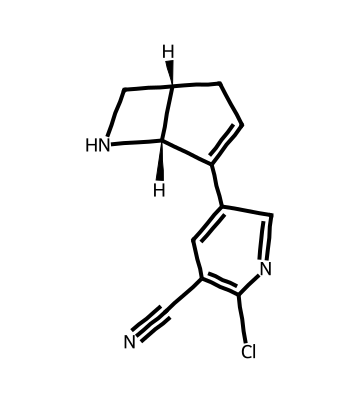 N#Cc1cc(C2=CC[C@H]3CN[C@@H]23)cnc1Cl